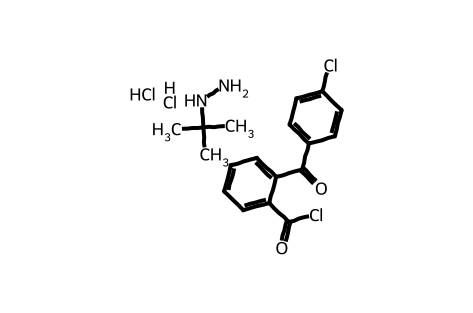 CC(C)(C)NN.Cl.Cl.O=C(Cl)c1ccccc1C(=O)c1ccc(Cl)cc1